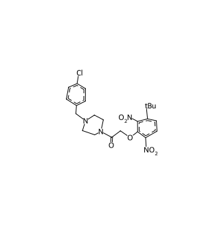 CC(C)(C)c1ccc([N+](=O)[O-])c(OCC(=O)N2CCN(Cc3ccc(Cl)cc3)CC2)c1[N+](=O)[O-]